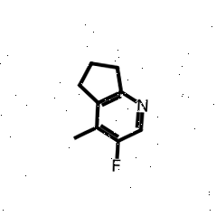 Cc1c(F)cnc2c1CCC2